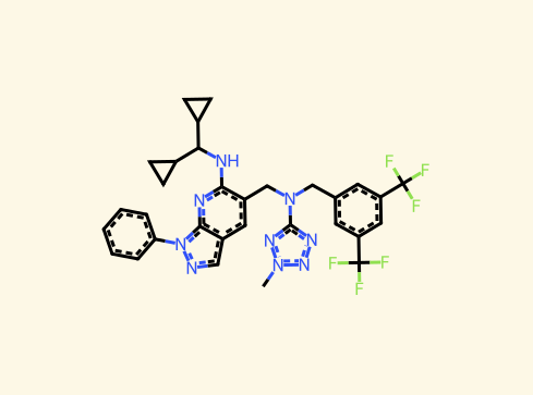 Cn1nnc(N(Cc2cc(C(F)(F)F)cc(C(F)(F)F)c2)Cc2cc3cnn(-c4ccccc4)c3nc2NC(C2CC2)C2CC2)n1